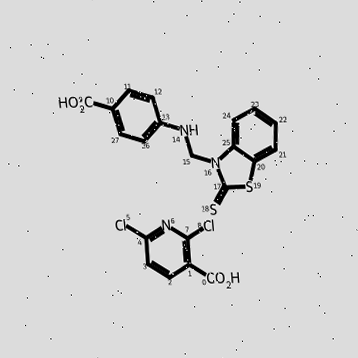 O=C(O)c1ccc(Cl)nc1Cl.O=C(O)c1ccc(NCn2c(=S)sc3ccccc32)cc1